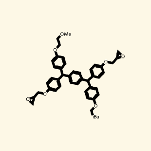 CCC(C)COc1ccc(C(c2ccc(OCC3CO3)cc2)c2ccc(C(c3ccc(OCCOC)cc3)c3ccc(OCC4CO4)cc3)cc2)cc1